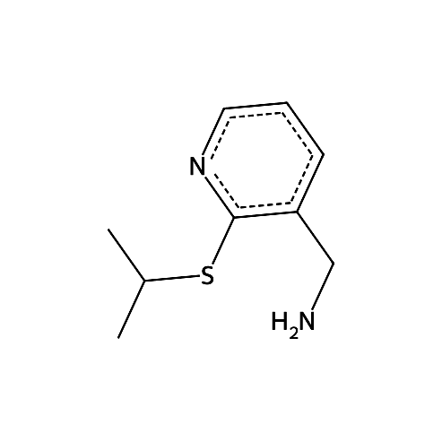 CC(C)Sc1ncccc1CN